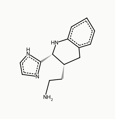 NCC[C@H]1Cc2ccccc2N[C@H]1c1ncc[nH]1